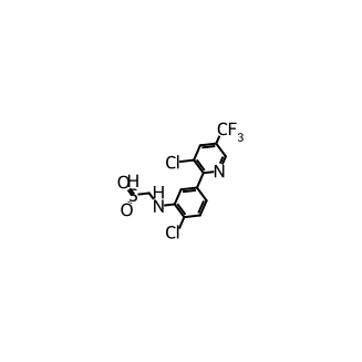 O=[SH](=O)CNc1cc(-c2ncc(C(F)(F)F)cc2Cl)ccc1Cl